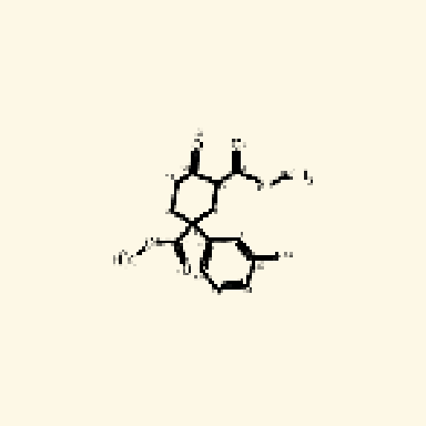 COC(=O)C1CC(C(=O)OC)(c2cccc(F)c2)CCC1=O